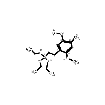 CCO[Si](CCc1cc(OC)c(C)cc1OC)(OCC)OCC